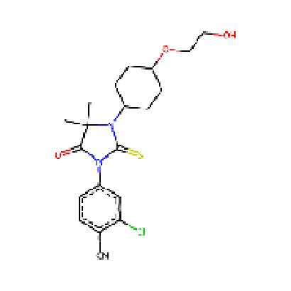 CC1(C)C(=O)N(c2ccc(C#N)c(Cl)c2)C(=S)N1C1CCC(OCCO)CC1